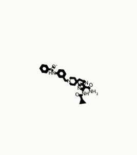 N#CCC1(n2cc(C(N)=O)c(NC(=O)C3CC3)n2)CCN(Cc2cccc(N[S+]([O-])c3ccccc3)c2)CC1